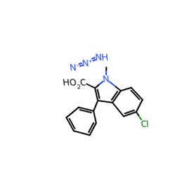 Cn1c(C(=O)O)c(-c2ccccc2)c2cc(Cl)ccc21.[N-]=[N+]=N